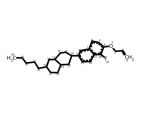 C=CCOc1ccc2cc(C3CCC4CC(CCCCC)CCC4C3)ccc2c1F